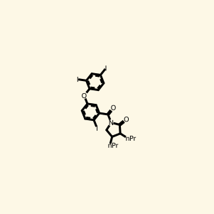 CCCC1CN(C(=O)c2cc(Oc3ccc(I)cc3I)ccc2I)C(=O)C1CCC